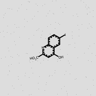 O=C(O)c1cc(O)c2cc(I)ccc2n1